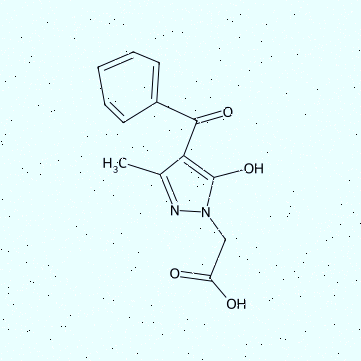 Cc1nn(CC(=O)O)c(O)c1C(=O)c1ccccc1